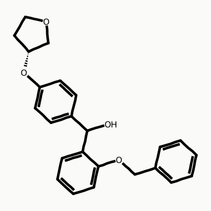 OC(c1ccc(O[C@@H]2CCOC2)cc1)c1ccccc1OCc1ccccc1